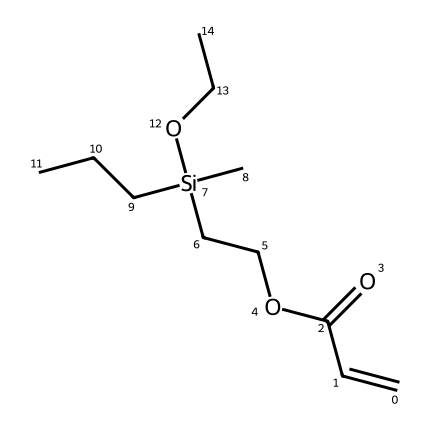 C=CC(=O)OCC[Si](C)(CCC)OCC